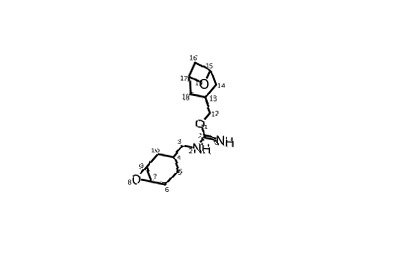 N=C(NCC1CCC2OC2C1)OCC1CC2CC(C1)O2